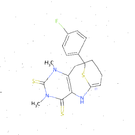 Cn1c2c(c(=S)n(C)c1=S)N/C(SCc1ccc(F)cc1)=C/CCC2